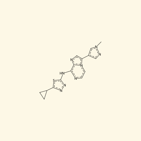 Cn1cc(-c2cnc3c(Nc4nnc(C5CC5)s4)nccn23)cn1